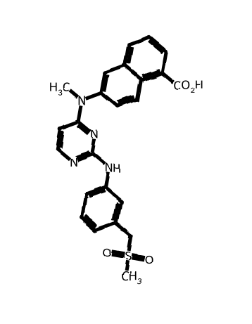 CN(c1ccc2c(C(=O)O)cccc2c1)c1ccnc(Nc2cccc(CS(C)(=O)=O)c2)n1